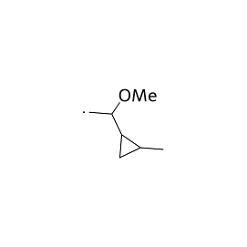 [CH2]C(OC)C1CC1C